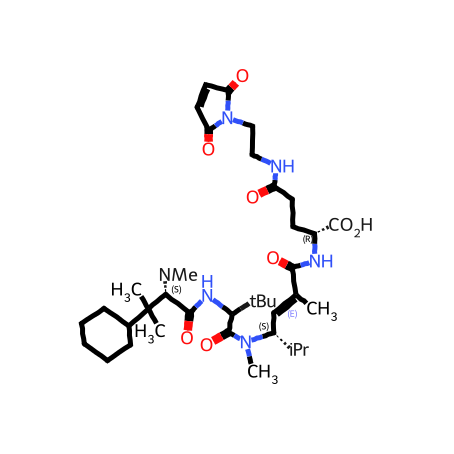 CN[C@H](C(=O)NC(C(=O)N(C)[C@H](/C=C(\C)C(=O)N[C@H](CCC(=O)NCCN1C(=O)C=CC1=O)C(=O)O)C(C)C)C(C)(C)C)C(C)(C)C1CCCCC1